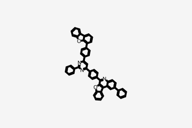 c1ccc(-c2ccc3nc(-c4ccc(-c5cc(-c6ccc(-c7cccc8c7oc7ccccc78)cc6)nc(-c6ccccc6)n5)cc4)c4oc5ccccc5c4c3c2)cc1